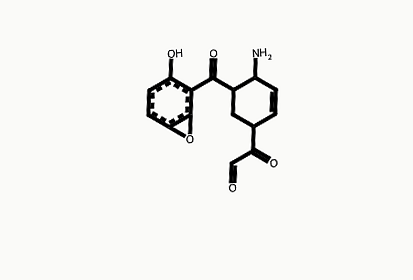 NC1C=CC(C(=O)C=O)CC1C(=O)c1c(O)ccc2c1O2